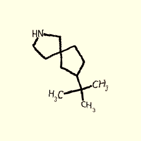 CC(C)(C)C1CCC2(CCNC2)C1